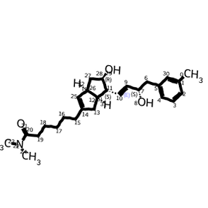 Cc1cccc(C[C@H](O)/C=C/[C@@H]2[C@H]3CC(CCCCCC(=O)N(C)C)=C[C@H]3C[C@H]2O)c1